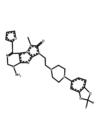 Cn1c(=O)n(CCN2CCN(c3ccc4c(c3)OC(F)(F)O4)CC2)c2nc3c(n21)C(c1ccco1)=NCN3N